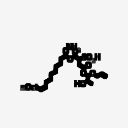 C=CCOC(OC(=O)CC(C(=O)OC(=O)CCCCCCC/C=C\CCCCCCCC)S(=O)(=O)O)C(C)O.N